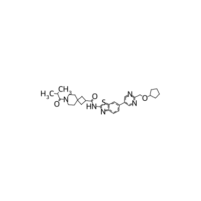 CC(C)C(=O)N1CCC2(CC1)CC(C(=O)Nc1nc3ccc(-c4cnc(COC5CCCC5)nc4)cc3s1)C2